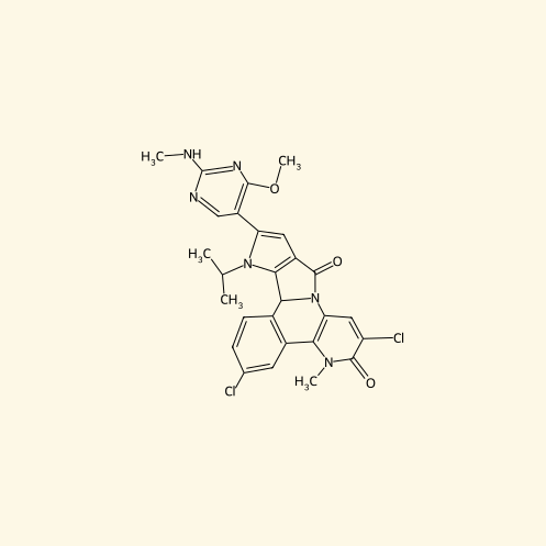 CNc1ncc(-c2cc3c(n2C(C)C)C2c4ccc(Cl)cc4-c4c(cc(Cl)c(=O)n4C)N2C3=O)c(OC)n1